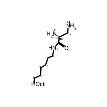 CCCCCCCCCCCCCCNC(=O)[C@H](N)CN